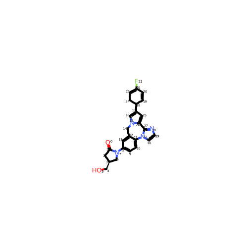 O=C1C[C@H](CO)CN1c1ccc2c(c1)Cn1cc(C3C=CC(F)=CC3)cc1-c1nccn1-2